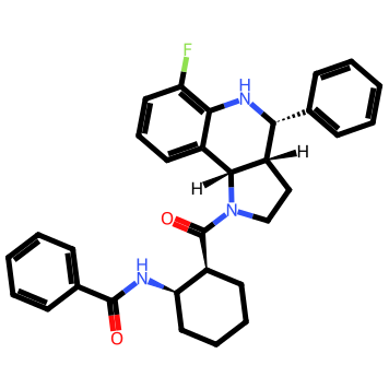 O=C(N[C@@H]1CCCC[C@@H]1C(=O)N1CC[C@H]2[C@@H](c3ccccc3)Nc3c(F)cccc3[C@H]21)c1ccccc1